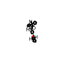 CC(NC(=O)N[C@H]1CC[C@H](CCN2[C@@H]3CC[C@H]2c2ccccc23)CC1)C(C#N)(c1ccccc1)c1ccccc1